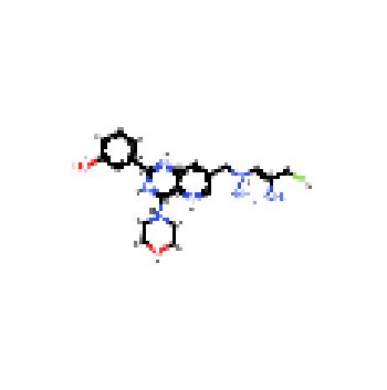 N/C(=C\N(N)Cc1cnc2c(N3CCOCC3)nc(-c3cccc(O)c3)nc2c1)CF